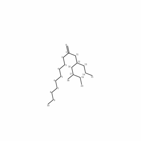 C=C(CCCCCCCCC)CC(CCC)CC(C)CC